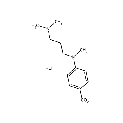 CN(C)CCCN(C)c1ccc(C(=O)O)cc1.Cl